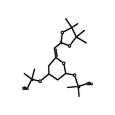 CC1(C)OB(/C=C2/CC(O[Si](C)(C)C(C)(C)C)CC(O[Si](C)(C)C(C)(C)C)O2)OC1(C)C